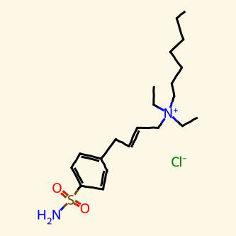 CCCCCCC[N+](CC)(CC)CC=CCc1ccc(S(N)(=O)=O)cc1.[Cl-]